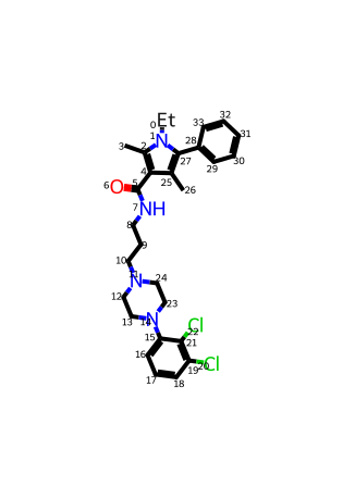 CCn1c(C)c(C(=O)NCCCN2CCN(c3cccc(Cl)c3Cl)CC2)c(C)c1-c1ccccc1